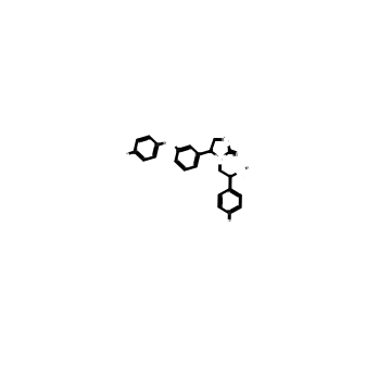 COc1ccc(Oc2cccc(C3CNC(=O)N3CC(c3ccc(Cl)cc3)S(C)(=O)=O)c2)cc1